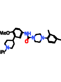 COc1ccc(NC(=O)N2CCN(c3ccc(C)cc3C)CC2)cc1C1CCN(C(C)C)CC1